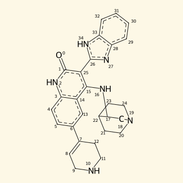 O=c1[nH]c2ccc(C3=CCNCC3)cc2c(NC2CN3CCC2CC3)c1-c1nc2ccccc2[nH]1